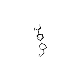 FC=C(F)c1ccc([C@H]2CC[C@H](CBr)CC2)cc1